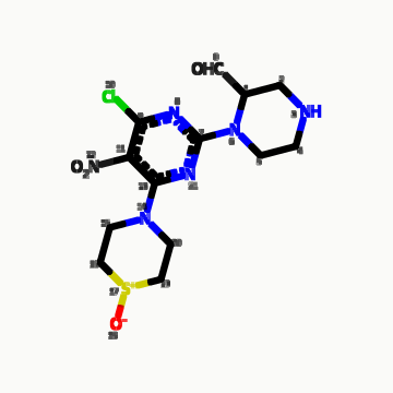 O=CC1CNCCN1c1nc(Cl)c([N+](=O)[O-])c(N2CC[S+]([O-])CC2)n1